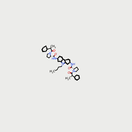 CCCCn1c2cc(NC(=O)[C@@H]3CCCN3C(=O)[C@H](C)c3ccccc3)ccc2c2ccc(NC(=O)[C@@H]3CCCN3C(=O)[C@H](C)c3ccccc3)cc21